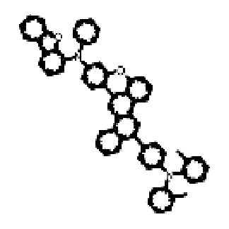 Cc1ccccc1N(c1ccc(-c2cc3c4cccc5c4c(cc3c3ccccc23)-c2ccc(N(c3ccccc3)c3cccc4c3oc3ccccc34)cc2O5)cc1)c1ccccc1C